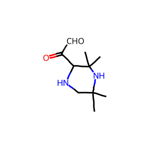 CC1(C)CNC(C(=O)C=O)C(C)(C)N1